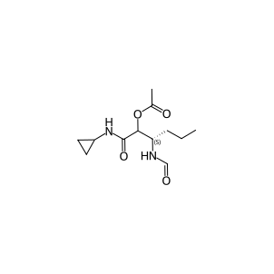 CCC[C@H](NC=O)C(OC(C)=O)C(=O)NC1CC1